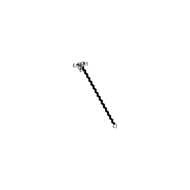 CCO[Si](CCCCCCCCCCCCCCCCCCCCCCCCCCCCCCCCl)(OCC)OCC